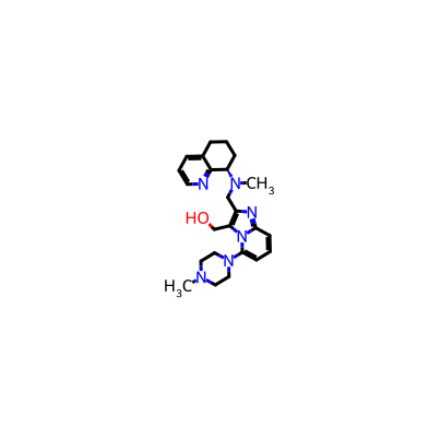 CN1CCN(c2cccc3nc(CN(C)[C@@H]4CCCc5cccnc54)c(CO)n23)CC1